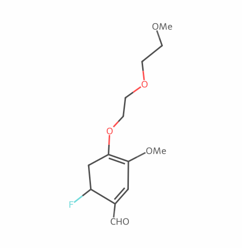 COCCOCCOC1=C(OC)C=C(C=O)C(F)C1